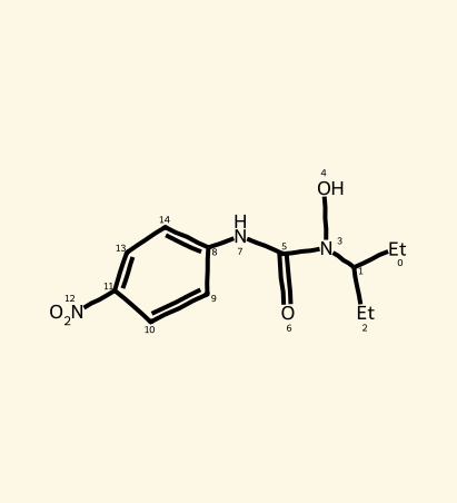 CCC(CC)N(O)C(=O)Nc1ccc([N+](=O)[O-])cc1